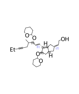 CCC#CCC(C)[C@@H](/C=C/[C@@H]1[C@H]2C/C(=C\CO)C[C@H]2C[C@H]1OC1CCCCO1)OC1CCCCO1